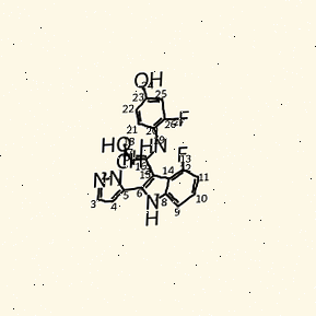 Cn1nccc1-c1[nH]c2cccc(F)c2c1/C(=N/O)Nc1ccc(O)cc1F